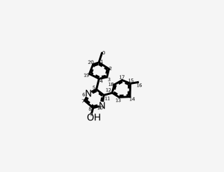 Cc1ccc(-c2ncc(O)nc2-c2ccc(C)cc2)cc1